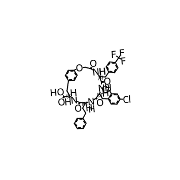 O=C1COc2ccc(cc2)C[C@@H](C(=O)O)NC(=O)[C@@H](CCc2ccccc2)NC(=O)[C@H](Cc2ccc(Cl)cc2Cl)NC(=O)[C@@H](Cc2ccc(C(F)(F)F)cc2)N1